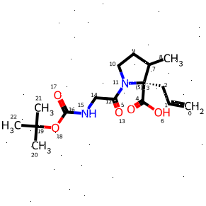 C=CC[C@@]1(C(=O)O)C(C)CCN1C(=O)CNC(=O)OC(C)(C)C